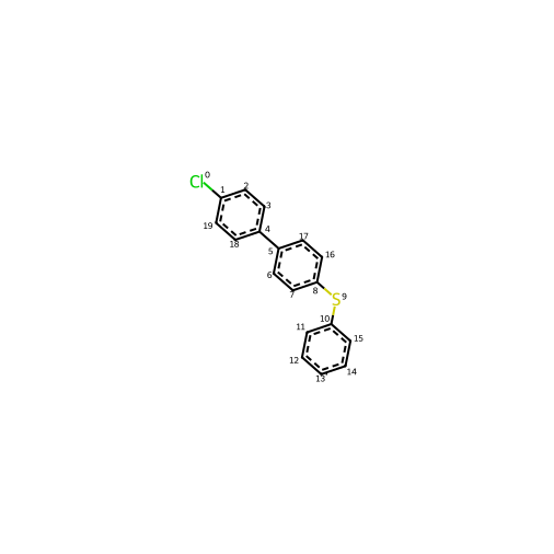 Clc1ccc(-c2ccc(Sc3cc[c]cc3)cc2)cc1